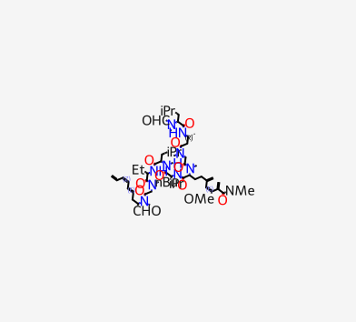 C=C/C=C\C=C\CC(C=O)N(C)C(=O)CN(CCCC)C(=O)C(CC)NC(=O)C(CC(C)C)N(C)C(=O)C(NC(=O)C(CCC(=C)/C=C(/OC)C(=C)C(=O)NC)N(C)C(=O)CN(C)C(=O)C[C@@H](C)NC(=O)C(CC(C)C)N(C)C=O)C(C)C